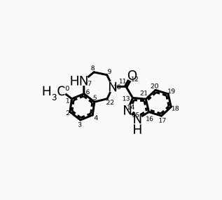 Cc1cccc2c1NCCN(C(=O)c1n[nH]c3ccccc13)C2